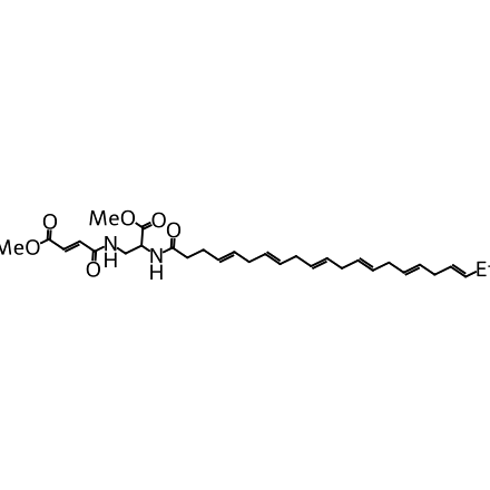 CCC=CCC=CCC=CCC=CCC=CCC=CCCC(=O)NC(CNC(=O)C=CC(=O)OC)C(=O)OC